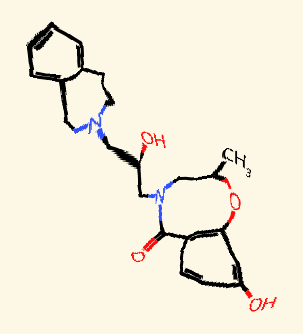 CC1CN(C[C@H](O)CN2CCc3ccccc3C2)C(=O)c2ccc(O)cc2O1